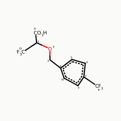 O=C(O)C(OCc1ccc(C(F)(F)F)cc1)C(F)(F)F